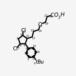 CC(C)(C)c1ccc(C2C(Cl)CC(Cl)C2CCCOCCC(=O)O)cc1